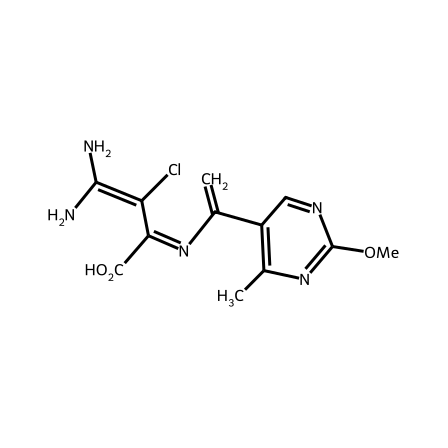 C=C(/N=C(/C(=O)O)C(Cl)=C(N)N)c1cnc(OC)nc1C